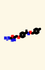 C/C(=N\OCc1ccc(C)cc1)c1ccc(OCc2nnc(N)o2)cc1